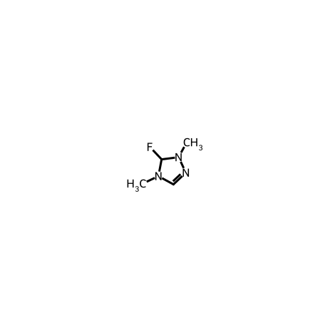 CN1C=NN(C)C1F